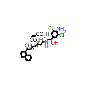 Nc1c(Cl)cc(C(O)CNCCCCCCC(C(=O)O)c2cccc3ccccc23)cc1Cl.O=C(O)C=CC(=O)O